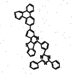 c1ccc(-c2nc(-c3ccccc3)nc(-c3cccc(-c4nc5cc(-c6ccc7c8ccccc8c8ccccc8c7c6)ccc5c5sc6ccccc6c45)c3)n2)cc1